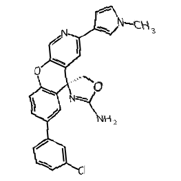 Cn1ccc(-c2cc3c(cn2)Oc2ccc(-c4cccc(Cl)c4)cc2[C@@]32COC(N)=N2)c1